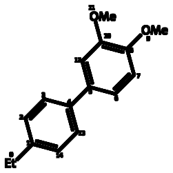 CCc1ccc(-c2ccc(OC)c(OC)c2)cc1